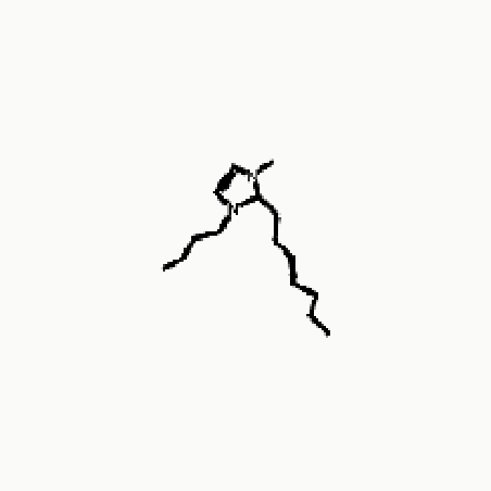 CCCCCCCC1N(C)C=CN1CCCC